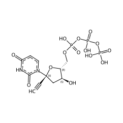 C#C[C@]1(n2ccc(=O)[nH]c2=O)C[C@H](O)[C@@H](COP(=O)(O)OP(=O)(O)OP(=O)(O)O)O1